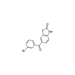 O=C(c1cccc(Br)c1)c1ccc2[nH]c(=O)sc2c1